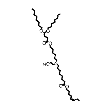 CC/C=C\CCCCOC(=O)CCCCCCCN(CCO)CCCCCCOC(=O)CCC(OCCCCCCCC)OCCCCCCCC